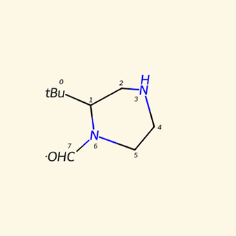 CC(C)(C)C1CNCCN1[C]=O